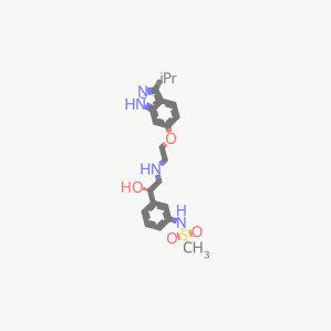 CC(C)c1n[nH]c2cc(OCCNC[C@H](O)c3cccc(NS(C)(=O)=O)c3)ccc12